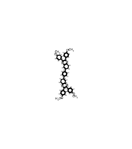 COc1ccc(-c2nc3c(nc2C2=CCC(OC)C=C2)C=C(c2ccc(C4=Cc5nc(-c6ccc(OC)cc6)c(-c6ccc(OC)cc6)nc5CC4)cc2)CC3)cc1